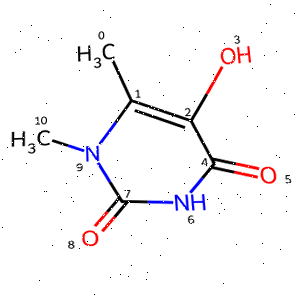 Cc1c(O)c(=O)[nH]c(=O)n1C